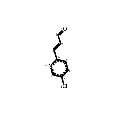 O=C/C=C/c1ccc(Cl)cn1